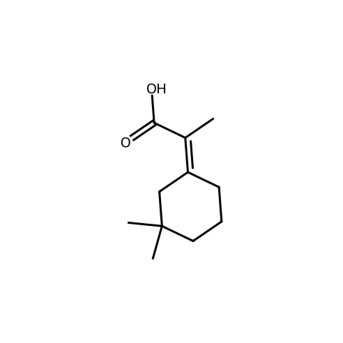 CC(C(=O)O)=C1CCCC(C)(C)C1